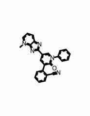 Cn1cccc2nc(-c3cc(-c4ccccc4C#N)c(=O)n(-c4ccccc4)c3)nc1-2